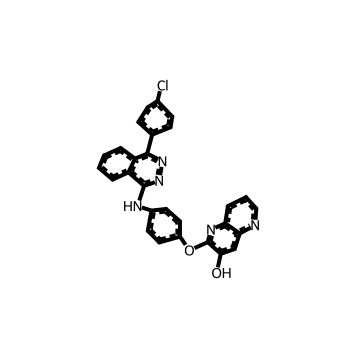 Oc1cc2ncccc2nc1Oc1ccc(Nc2nnc(-c3ccc(Cl)cc3)c3ccccc23)cc1